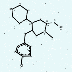 CN1CC(Cc2ccc(Cl)cc2)N(C2CCNCC2)C[C@@H]1CO